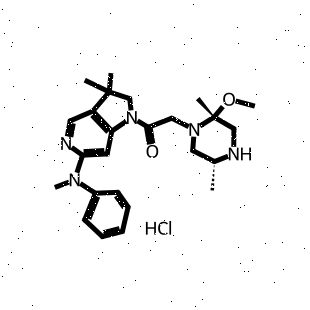 CO[C@]1(C)CN[C@H](C)CN1CC(=O)N1CC(C)(C)c2cnc(N(C)c3ccccc3)cc21.Cl